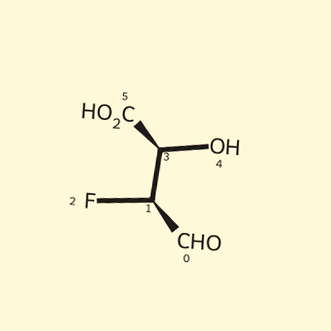 O=C[C@@H](F)[C@H](O)C(=O)O